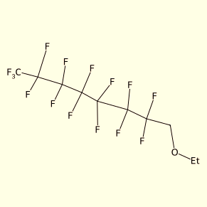 [CH2]COCC(F)(F)C(F)(F)C(F)(F)C(F)(F)C(F)(F)C(F)(F)C(F)(F)F